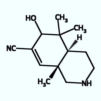 CC1(C)C(O)C(C#N)=C[C@@]2(C)CNCC[C@H]12